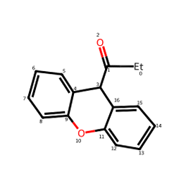 CCC(=O)C1c2ccccc2Oc2ccccc21